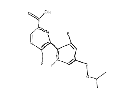 CC(C)OCc1cc(F)c(-c2nc(C(=O)O)ccc2F)c(F)c1